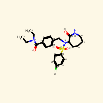 CCN(CC)C(=O)c1ccc(CN(C2CCCCNC2=O)S(=O)(=O)c2ccc(Cl)cc2)cc1